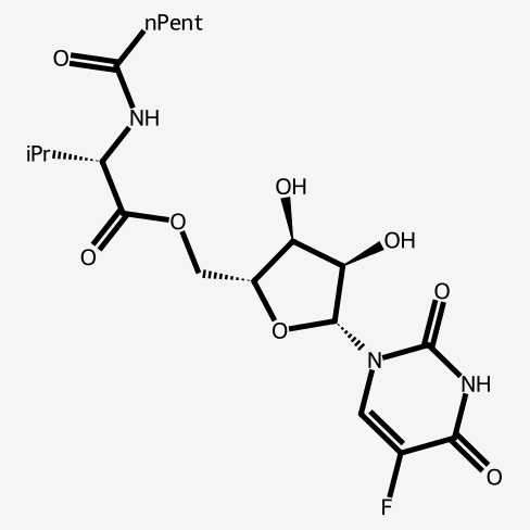 CCCCCC(=O)N[C@H](C(=O)OC[C@H]1O[C@@H](n2cc(F)c(=O)[nH]c2=O)[C@H](O)[C@@H]1O)C(C)C